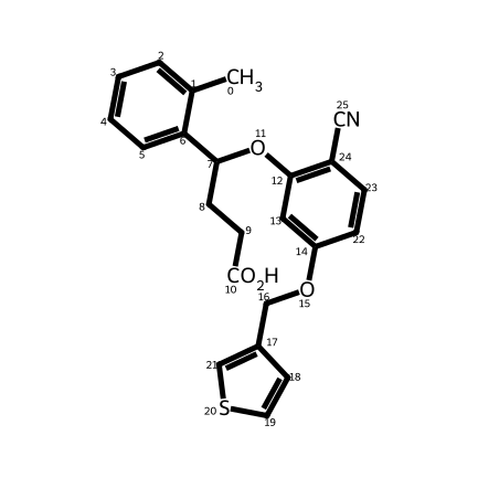 Cc1ccccc1C(CCC(=O)O)Oc1cc(OCc2ccsc2)ccc1C#N